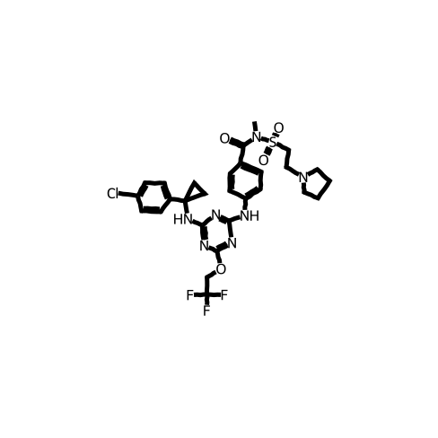 CN(C(=O)c1ccc(Nc2nc(NC3(c4ccc(Cl)cc4)CC3)nc(OCC(F)(F)F)n2)cc1)S(=O)(=O)CCN1CCCC1